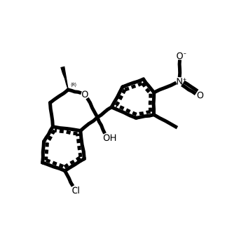 Cc1cc(C2(O)O[C@H](C)Cc3ccc(Cl)cc32)ccc1[N+](=O)[O-]